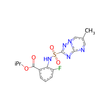 Cc1cnc2nc(S(=O)(=O)Nc3c(F)cccc3C(=O)OC(C)C)nn2c1